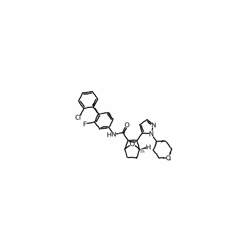 O=C(Nc1ccc(-c2ccccc2Cl)c(F)c1)C1=C(c2ccnn2C2CCOCC2)[C@@H]2CCC1O2